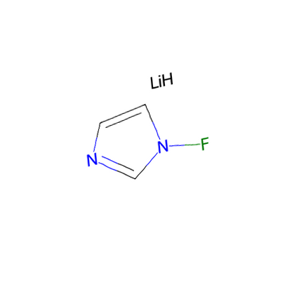 Fn1ccnc1.[LiH]